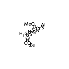 COCOc1cc(-c2cncs2)cnc1-c1nc2sc(N(C)C3CCN(C(=O)OC(C)(C)C)CC3)nc2s1